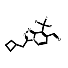 O=Cc1ccn2c(CC3CCC3)nnc2c1C(F)(F)F